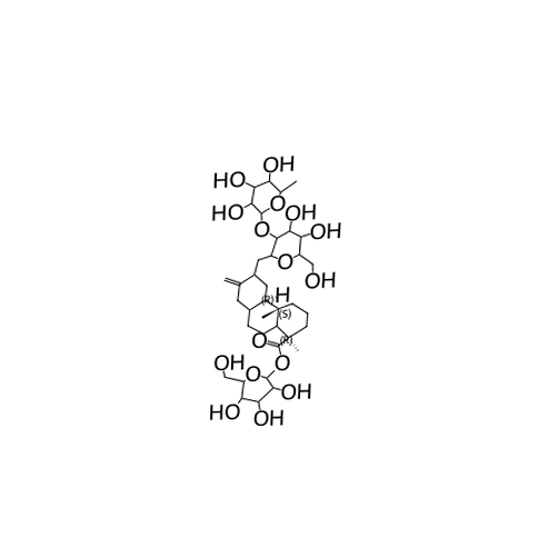 C=C1CC2CCC3[C@](C)(C(=O)OC4OC(CO)C(O)C(O)C4O)CCC[C@@]3(C)[C@@H]2CC1CC1OC(CO)C(O)C(O)C1OC1OC(C)C(O)C(O)C1O